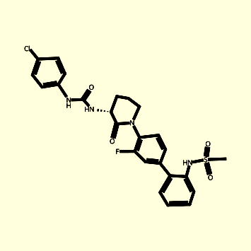 CS(=O)(=O)Nc1ccccc1-c1ccc(N2CCC[C@@H](NC(=O)Nc3ccc(Cl)cc3)C2=O)c(F)c1